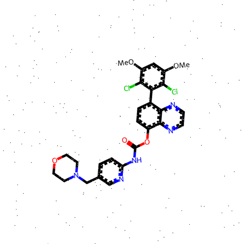 COc1cc(OC)c(Cl)c(-c2ccc(OC(=O)Nc3ccc(CN4CCOCC4)cn3)c3nccnc23)c1Cl